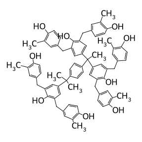 Cc1cc(Cc2cc(C(C)(C)c3ccc(C(C)(c4cc(Cc5ccc(O)c(C)c5)c(O)c(Cc5ccc(O)c(C)c5)c4)c4cc(Cc5ccc(O)c(C)c5)c(O)c(Cc5ccc(O)c(C)c5)c4)cc3)cc(Cc3ccc(O)c(C)c3)c2O)ccc1O